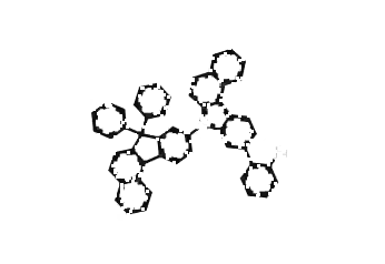 Brc1ccccc1-c1ccc2c3c4ccccc4ccc3n(-c3ccc4c(c3)C(c3ccccc3)(c3ccccc3)c3ccc5ccccc5c3-4)c2c1